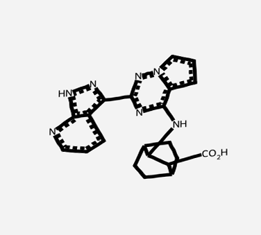 O=C(O)C1C2CCC(CC2)C1Nc1nc(-c2n[nH]c3ncccc23)nn2cccc12